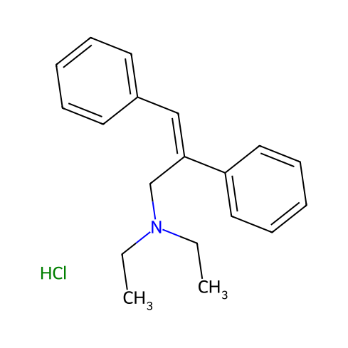 CCN(CC)CC(=Cc1ccccc1)c1ccccc1.Cl